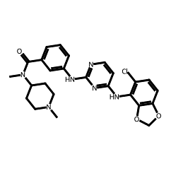 CN1CCC(N(C)C(=O)c2cccc(Nc3nccc(Nc4c(Cl)ccc5c4OCO5)n3)c2)CC1